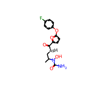 CC(C[AsH]C(=O)c1ccc(Oc2ccc(F)cc2)o1)N(O)C(N)=O